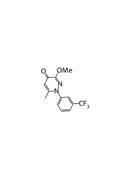 COc1nn(-c2cccc(C(F)(F)F)c2)c(C)cc1=O